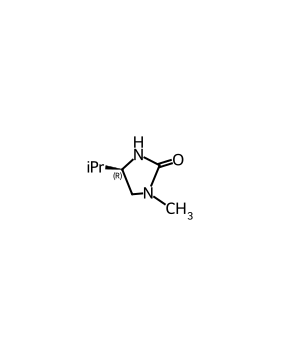 CC(C)[C@@H]1CN(C)C(=O)N1